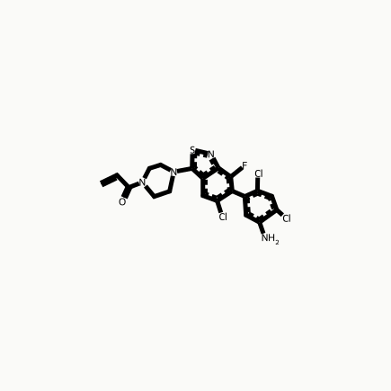 C=CC(=O)N1CCN(c2snc3c(F)c(-c4cc(N)c(Cl)cc4Cl)c(Cl)cc23)CC1